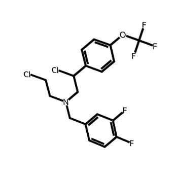 Fc1ccc(CN(CCCl)CC(Cl)c2ccc(OC(F)(F)F)cc2)cc1F